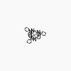 CC1=NN(c2ccccc2)C(=O)C1C1(C2C(=O)N(c3ccccc3)N=C2C)C(=O)N(c2ccccc2)N=C1C